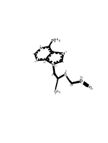 CC(Cn1cnc2c(N)ncnc21)OCP=O